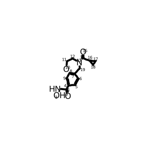 O=C(NO)c1ccc2c(c1)OCCN(C(=O)C1CC1)C2